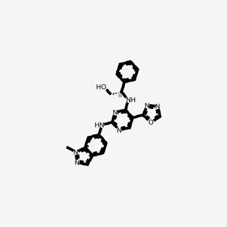 Cn1ncc2ccc(Nc3ncc(-c4nnco4)c(N[C@H](CO)c4ccccc4)n3)cc21